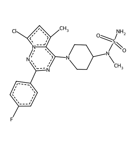 Cc1cc(Cl)n2nc(-c3ccc(F)cc3)nc(N3CCC(N(C)S(N)(=O)=O)CC3)c12